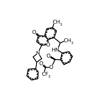 Cc1cc(C(C)Nc2ccccc2C(=O)OC(=O)C(F)(F)F)c2oc(N3CC(c4ccccc4)C3)cc(=O)c2c1